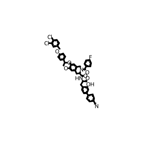 N#Cc1ccc(-c2ccc(CC(NC(=O)C3Cc4cc5c(cc4CN3C(=O)c3ccc(F)cc3)OC(c3ccc(OCc4ccc(Cl)c(Cl)c4)cc3)CO5)C(=O)O)cc2)cc1